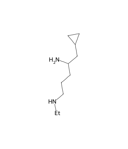 CCNCCCC(N)CC1CC1